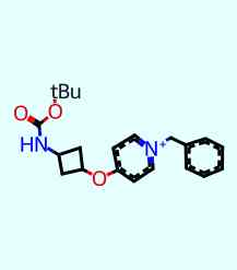 CC(C)(C)OC(=O)NC1CC(Oc2cc[n+](Cc3ccccc3)cc2)C1